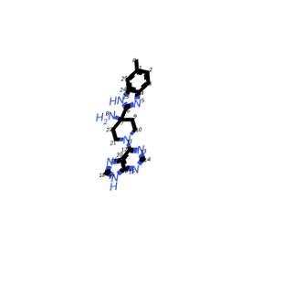 Cc1ccc2nc(C3(N)CCN(c4ncnc5[nH]cnc45)CC3)[nH]c2c1